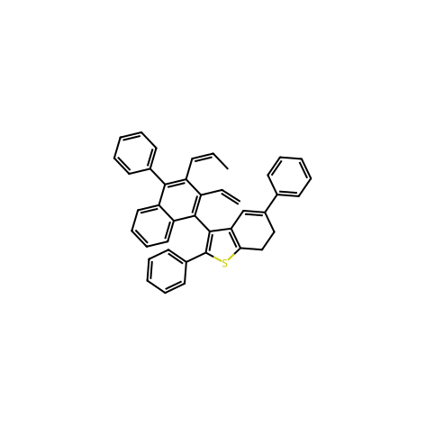 C=Cc1c(/C=C\C)c(-c2ccccc2)c2ccccc2c1-c1c(-c2ccccc2)sc2c1C=C(c1ccccc1)CC2